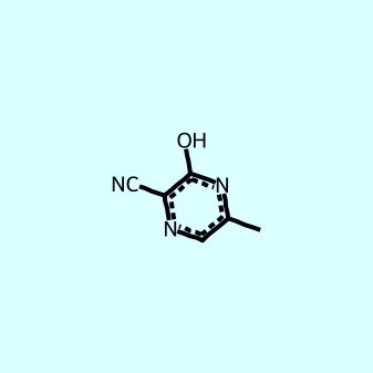 Cc1cnc(C#N)c(O)n1